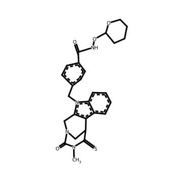 CN1C(=O)N2Cc3c(c4ccccc4n3Cc3ccc(C(=O)NOC4CCCCO4)cc3)C(C2)C1=S